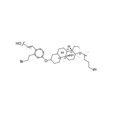 CC(C)CCC[C@@H](C)[C@H]1CC[C@H]2[C@@H]3CCC4CC(Oc5ccc(/C=C/C(=O)O)c(CCBr)c5)CC[C@]4(C)[C@H]3CC[C@]12C